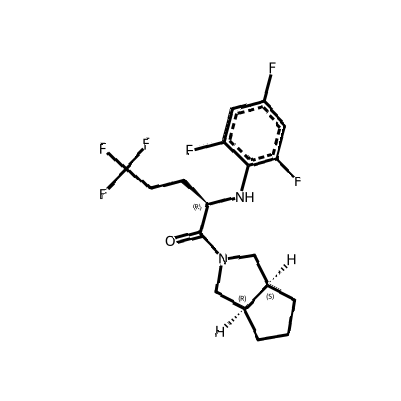 O=C([C@@H](CCC(F)(F)F)Nc1c(F)cc(F)cc1F)N1C[C@H]2CCC[C@H]2C1